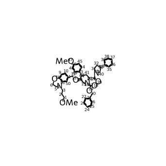 COCCCN1CCOc2ccc(CO[C@H]3CN(C(=O)OCc4ccccc4)[C@@H](C(=O)N4CC[C@H](c5ccccc5)C4)C[C@@H]3c3ccc(OC)cc3)cc21